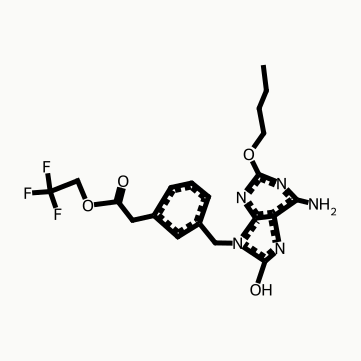 CCCCOc1nc(N)c2nc(O)n(Cc3cccc(CC(=O)OCC(F)(F)F)c3)c2n1